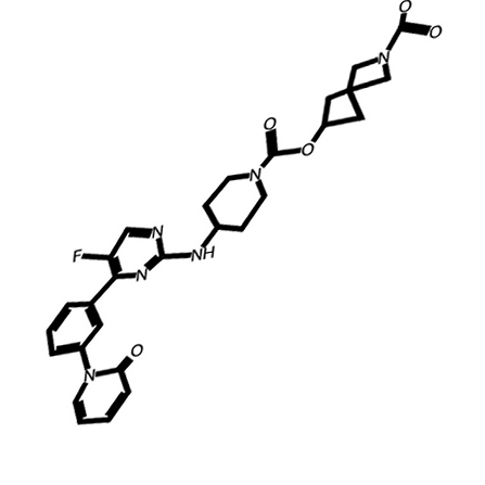 CC(C)(C)OC(=O)N1CC2(CC(OC(=O)N3CCC(Nc4ncc(F)c(-c5cccc(-n6ccccc6=O)c5)n4)CC3)C2)C1